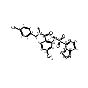 CN(Cc1ccc(Cl)cc1)C(=O)c1ccc(C(F)(F)F)cc1NS(=O)(=O)c1cccc2nsnc12